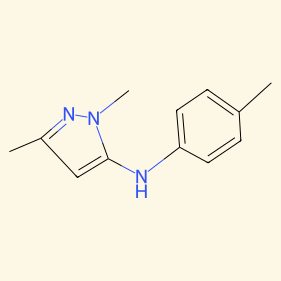 Cc1ccc(Nc2cc(C)nn2C)cc1